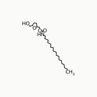 CCCCCCCCCCCCCCCCCCNC(=O)OCC1CCC(CO)O1